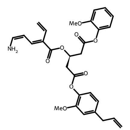 C=CCc1ccc(OC(=O)C[C@H](CC(=O)Oc2ccccc2OC)OC(=O)/C(C=C)=C/C=C\N)c(OC)c1